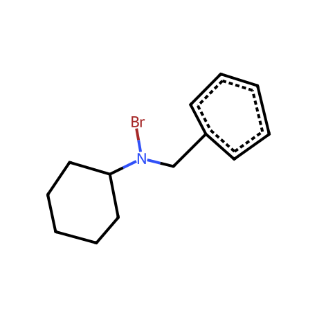 BrN(Cc1ccccc1)C1CCCCC1